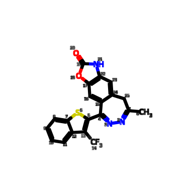 CC1=NN=C(c2sc3ccccc3c2C(F)(F)F)c2cc3oc(=O)[nH]c3cc2C1